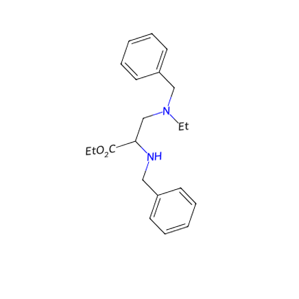 CCOC(=O)C(CN(CC)Cc1ccccc1)NCc1ccccc1